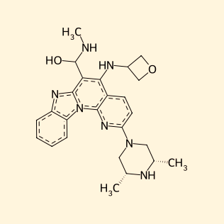 CNC(O)c1c(NC2COC2)c2ccc(N3C[C@@H](C)N[C@@H](C)C3)nc2n2c1nc1ccccc12